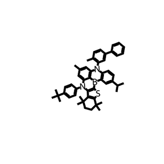 Cc1cc2c3c(c1)N(c1ccc(C(C)(C)C)cc1)c1c(sc4c1C(C)(C)CCC4(C)C)B3c1cc(C(C)C)ccc1N2c1cc(-c2ccccc2)ccc1C